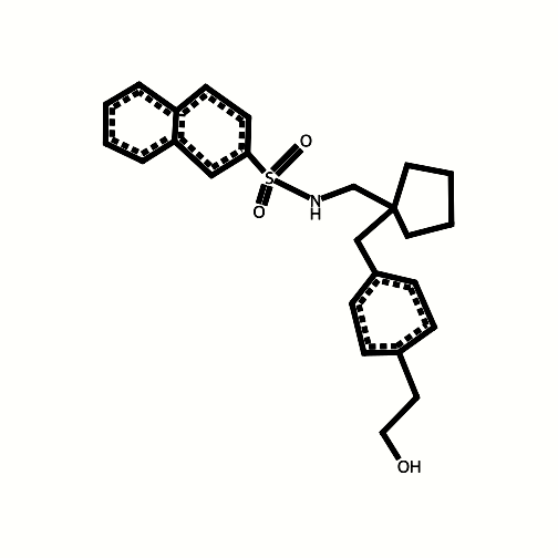 O=S(=O)(NCC1(Cc2ccc(CCO)cc2)CCCC1)c1ccc2ccccc2c1